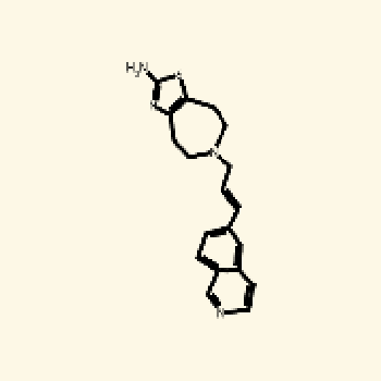 Nc1nc2c(s1)CCN(CC=Cc1ccc3cnccc3c1)CC2